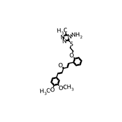 COc1ccc(C=CC(=O)C=Cc2ccccc2OCCSc2nnc(C)n2N)cc1OC